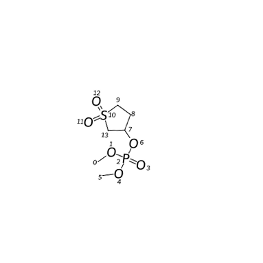 COP(=O)(OC)OC1CCS(=O)(=O)C1